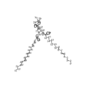 CCCCCC=CCC=CCCCCCCCC(=O)OCC1CN(C(=O)OC(C)(C)C)CC1COC(=O)CCCCCCCC=CCC=CCCCCC